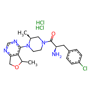 CC1OCc2ncnc(N3CCN(C(=O)[C@H](N)Cc4ccc(Cl)cc4)C[C@@H]3C)c21.Cl.Cl